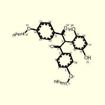 CCCCCOc1ccc(C(=O)C(C(=O)c2ccc(OCCCCC)cc2)c2cc(O)ccc2O)cc1